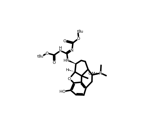 CO[C@@]12CC[C@H](NC(=NC(=O)OC(C)(C)C)NC(=O)OC(C)(C)C)[C@@H]3Oc4c(O)ccc(c4C31C)CC2N(C)C